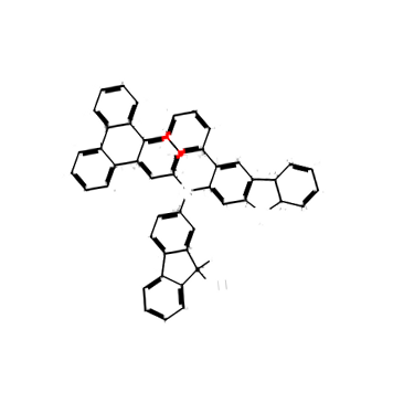 CC1(C)c2ccccc2-c2ccc(N(c3ccc4c5ccccc5c5ccccc5c4c3)c3cc4c(cc3-c3ccccc3)C3C=CC=CC3O4)cc21